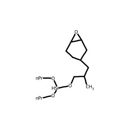 CCCO[SiH](OCCC)OCC(C)CC1CCC2OC2C1